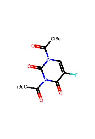 CC(C)COC(=O)n1cc(F)c(=O)n(C(=O)OCC(C)C)c1=O